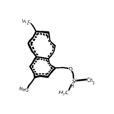 COc1cc(O[SiH](C)C)c2ccc(C)cc2c1